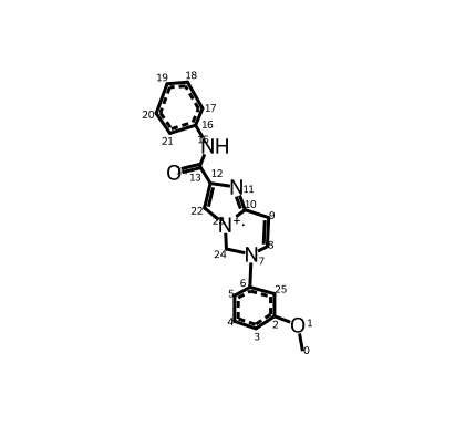 COc1cccc(N2C=CC3=NC(C(=O)Nc4ccccc4)=C[N+]3C2)c1